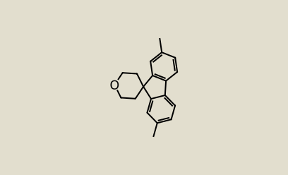 Cc1ccc2c(c1)C1(CCOCC1)c1cc(C)ccc1-2